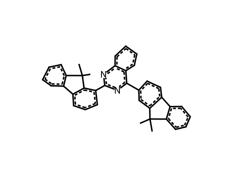 CC1(C)c2ccccc2-c2ccc(-c3nc(-c4cccc5c4C(C)(C)c4ccccc4-5)nc4ccccc34)cc21